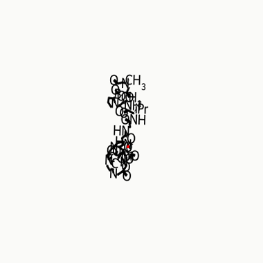 CC(C)[C@H](NC(=O)CNC(=O)CC[C@@H]1C(=O)O[N+]23OC(=O)CN4CCN(CCN1CCN(CC4)CC(=O)O2)CC(=O)O3)C(=O)N[C@H](C)C(=O)N1CCCC1B1OC(=O)CN(C)CC(=O)O1